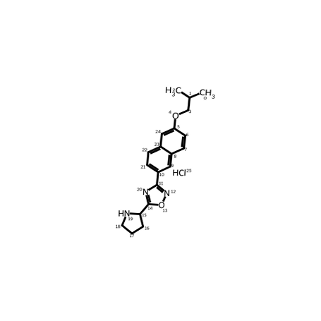 CC(C)COc1ccc2cc(-c3noc(C4CCCN4)n3)ccc2c1.Cl